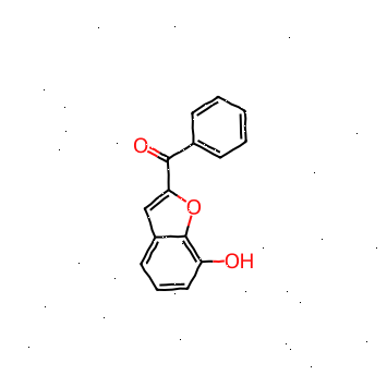 O=C(c1ccccc1)c1cc2cccc(O)c2o1